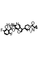 C[C@@H](Oc1c(N)ncc2c(C3=CCN(C(=O)C4(N)CC4)CC3)coc12)c1c(F)ccc(F)c1Cl